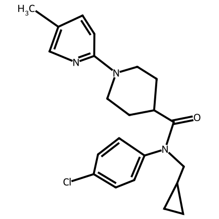 Cc1ccc(N2CCC(C(=O)N(CC3CC3)c3ccc(Cl)cc3)CC2)nc1